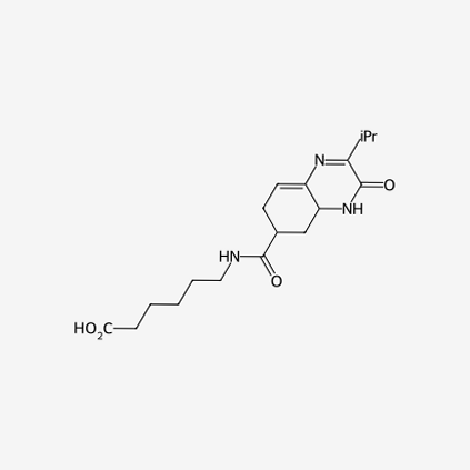 CC(C)C1=NC2=CCC(C(=O)NCCCCCC(=O)O)CC2NC1=O